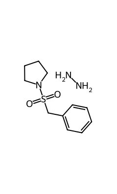 NN.O=S(=O)(Cc1ccccc1)N1CCCC1